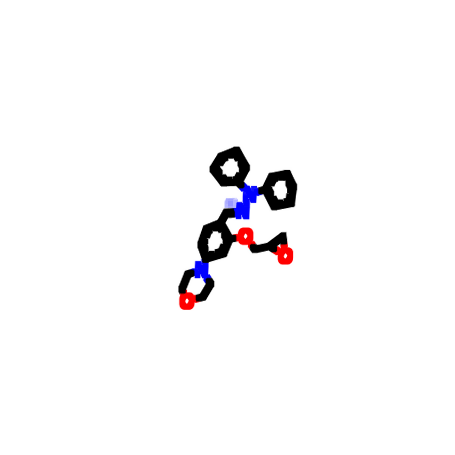 C(=N\N(c1ccccc1)c1ccccc1)/c1ccc(N2CCOCC2)cc1OCC1CO1